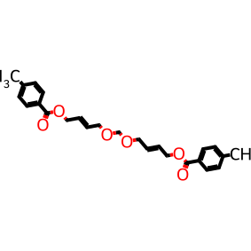 Cc1ccc(C(=O)OC/C=C/COCOC/C=C/COC(=O)c2ccc(C)cc2)cc1